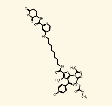 COC(=O)C[C@@H]1N=C(c2ccc(Cl)cc2)c2c(sc(C(=O)NCCCCCCCCNc3ccnc(C(=O)NC4CCC(=O)NC4=O)c3)c2C)-n2c(C)nnc21